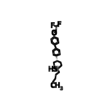 CCCCC[Si@H]1CC[C@H](c2ccc(-c3ccc(OCC(F)F)cc3)cc2)CC1